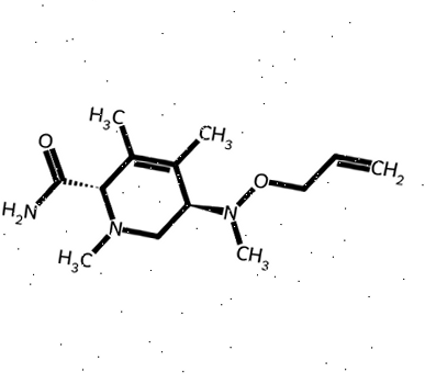 C=CCON(C)[C@H]1CN(C)[C@H](C(N)=O)C(C)=C1C